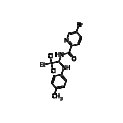 CCC(Cl)(Cl)C(NC(=O)c1ccc(Br)cn1)Nc1ccc(C)cc1